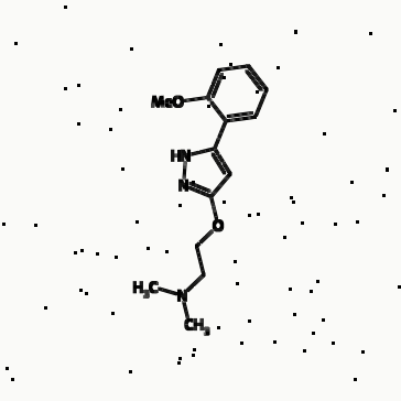 COc1ccccc1-c1cc(OCCN(C)C)n[nH]1